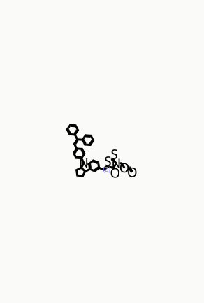 O=COCN1C(=O)/C(=C/c2ccc3c(c2)C2CCCC2N3c2ccc(C=C(c3ccccc3)c3ccccc3)cc2)SC1=S